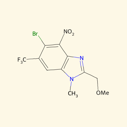 COCc1nc2c([N+](=O)[O-])c(Br)c(C(F)(F)F)cc2n1C